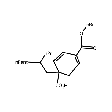 CCCCCC(CCC)CC1(C(=O)O)C=CC(C(=O)OCCCC)=CC1